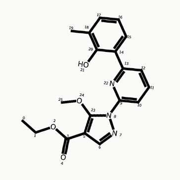 CCOC(=O)c1cnn(-c2cccc(-c3cccc(C)c3O)n2)c1OC